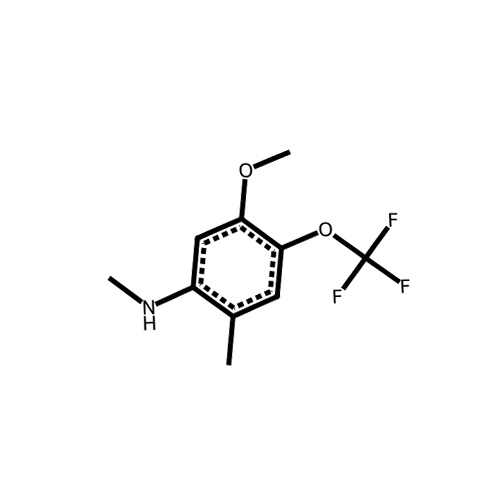 CNc1cc(OC)c(OC(F)(F)F)cc1C